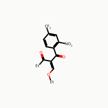 CCOC=C(C(=O)CC)C(=O)c1ccc(C(F)(F)F)cc1[N+](=O)[O-]